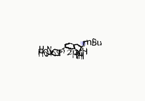 [2H]C1([2H])C(/C=C/CCCC)=Cc2ccc([C@H]3CC[C@](N)(CO)C3)cc2C1([2H])[2H]